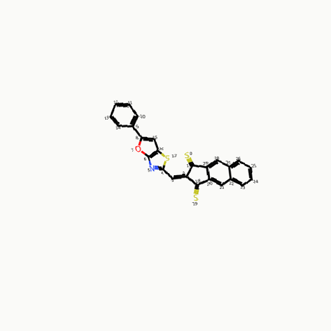 S=C1C(=Cc2nc3oc(-c4ccccc4)cc3s2)C(=S)c2cc3ccccc3cc21